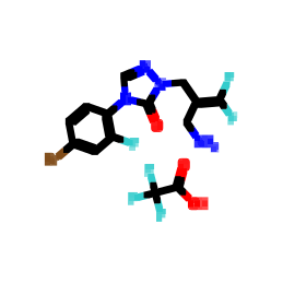 NCC(Cn1ncn(-c2ccc(Br)cc2F)c1=O)=C(F)F.O=C(O)C(F)(F)F